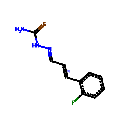 NC(=S)NN=C/C=C/c1ccccc1F